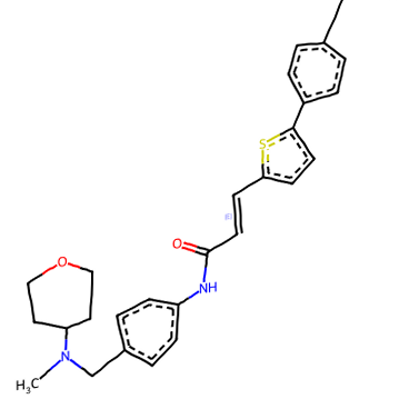 CC(C)c1ccc(-c2ccc(/C=C/C(=O)Nc3ccc(CN(C)C4CCOCC4)cc3)s2)cc1